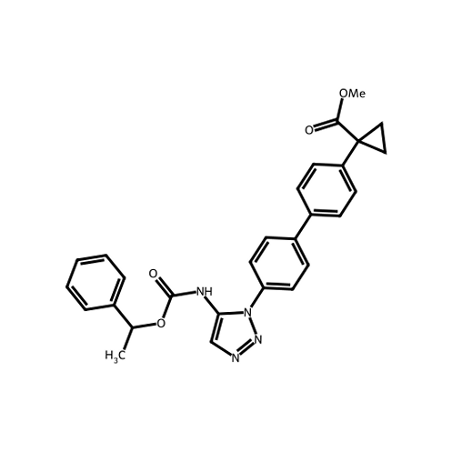 COC(=O)C1(c2ccc(-c3ccc(-n4nncc4NC(=O)OC(C)c4ccccc4)cc3)cc2)CC1